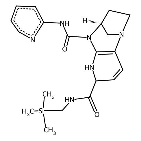 C[Si](C)(C)CNC(=O)C1C=CC2=C(N1)N(C(=O)Nc1ccccn1)[C@H]1CCN2C1